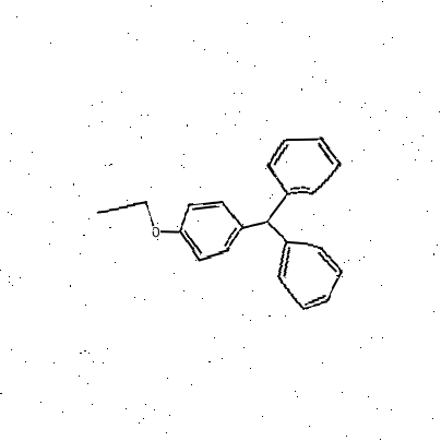 CCOc1ccc(C(c2ccccc2)c2ccccc2)cc1